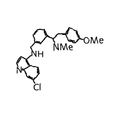 CNC(Cc1ccc(OC)cc1)c1cccc(CNc2ccnc3cc(Cl)ccc23)c1